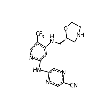 N#Cc1cnc(Nc2cc(NC[C@@H]3CNCCO3)c(C(F)(F)F)cn2)cn1